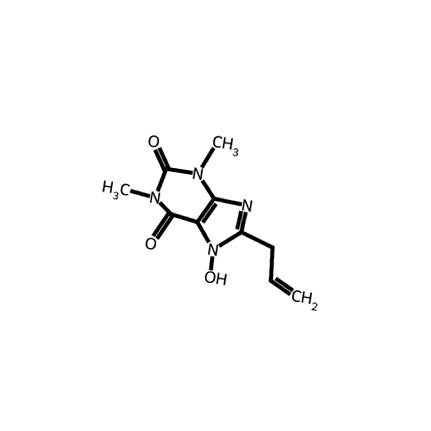 C=CCc1nc2c(c(=O)n(C)c(=O)n2C)n1O